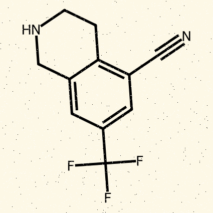 N#Cc1cc(C(F)(F)F)cc2c1CCNC2